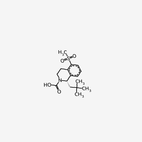 CC(C)(C)C[C@H]1c2cccc(S(C)(=O)=O)c2CCN1C(=O)O